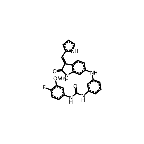 COc1cc(NC(=O)Nc2cccc(Nc3ccc4c(c3)NC(=O)C4=Cc3ccc[nH]3)c2)ccc1F